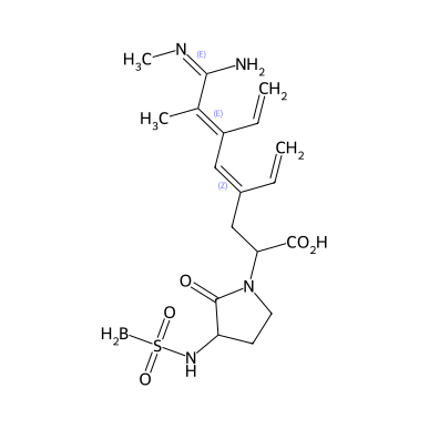 BS(=O)(=O)NC1CCN(C(C/C(C=C)=C/C(C=C)=C(C)/C(N)=N\C)C(=O)O)C1=O